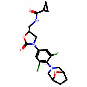 O=C(NC[C@H]1CN(c2cc(F)c(N3CC4CCC(C3)O4)c(F)c2)C(=O)O1)C1CC1